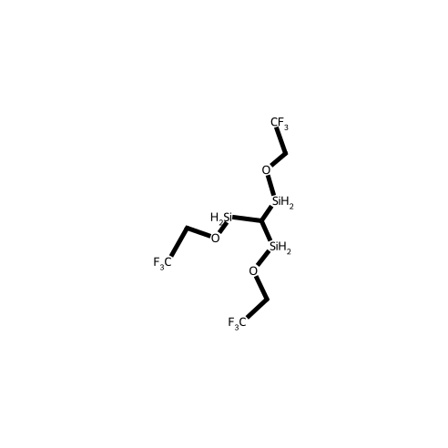 FC(F)(F)CO[SiH2]C([SiH2]OCC(F)(F)F)[SiH2]OCC(F)(F)F